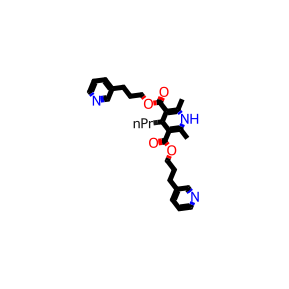 CCCC1C(C(=O)OCCCc2cccnc2)=C(C)NC(C)=C1C(=O)OCCCc1cccnc1